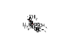 C=CC(=O)N1CC[C@@H](n2nc(-c3ccc(Oc4cc([N+](=O)[O-])c(C)cc4C)cc3)c(C(N)=O)c2N)C1